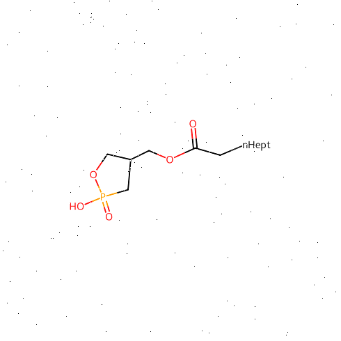 CCCCCCCCC(=O)OCC1COP(=O)(O)C1